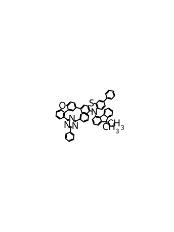 CC1(C)c2ccccc2-c2c(N3c4ccc(-c5ccccc5)cc4Sc4cc(-c5ccc6oc7cccc(-c8nc(-c9ccccc9)nc(-c9ccccc9)n8)c7c6c5)ccc43)cccc21